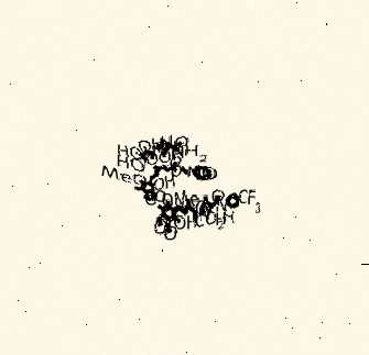 COc1c(C)c2c(c(O)c1C/C=C(\C)CCC(=O)O)C(=O)OC2.COc1c(C)c2c(c(O)c1C/C=C(\C)CCC(=O)OCCN1CCOCC1)C(=O)OC2.Cc1oncc1C(=O)Nc1ccc(C(F)(F)F)cc1.NC(=O)c1ncn([C@@H]2O[C@H](CO)[C@@H](O)[C@H]2O)c1O